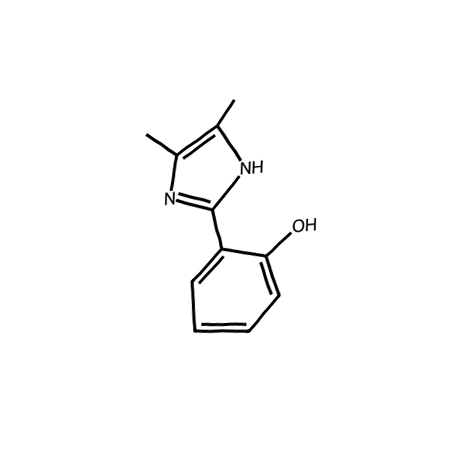 Cc1nc(-c2ccccc2O)[nH]c1C